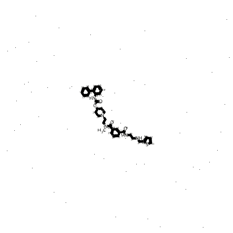 CN(CCN1CCC(OC(=O)Nc2ccccc2-c2ccccc2)CC1)C(=O)c1cccc(C(=O)NCCNCc2cccs2)c1